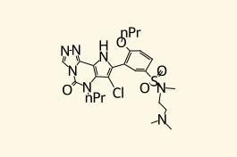 CCCOc1ccc(S(=O)(=O)N(C)CCN(C)C)cc1-c1[nH]c2c(c1Cl)n(CCC)c(=O)n1cnnc21